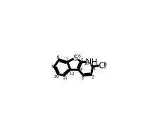 ClC1C=Cc2c(sc3ccccc23)N1